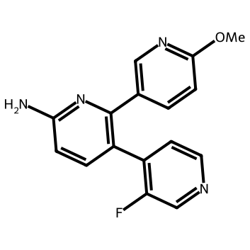 COc1ccc(-c2nc(N)ccc2-c2ccncc2F)cn1